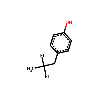 CCC(C)(CC)Cc1ccc(O)cc1